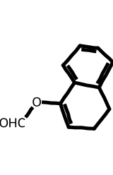 O=COC1=CCCc2ccccc21